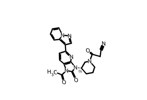 CC(=O)n1c(=O)n([C@H]2CCCN(C(=O)CC#N)C2)c2nc(-c3cnn4ccccc34)ccc21